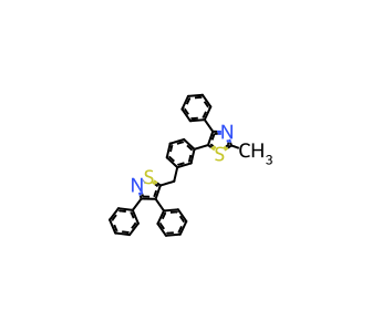 Cc1nc(-c2ccccc2)c(-c2cccc(Cc3snc(-c4ccccc4)c3-c3ccccc3)c2)s1